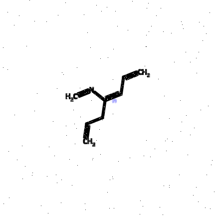 C=C/C=C(/CC=C)N=C